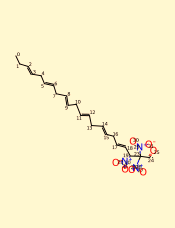 CC/C=C/C/C=C/C/C=C/C/C=C/C/C=C/C/C=C/C([N+](=O)[O-])C([C]=O)([N+](=O)[O-])[N+](=O)[O-]